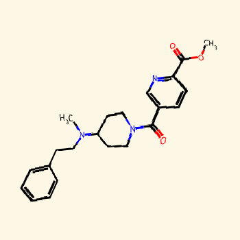 COC(=O)c1ccc(C(=O)N2CCC(N(C)CCc3ccccc3)CC2)cn1